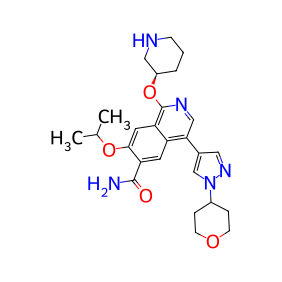 CC(C)Oc1cc2c(O[C@@H]3CCCNC3)ncc(-c3cnn(C4CCOCC4)c3)c2cc1C(N)=O